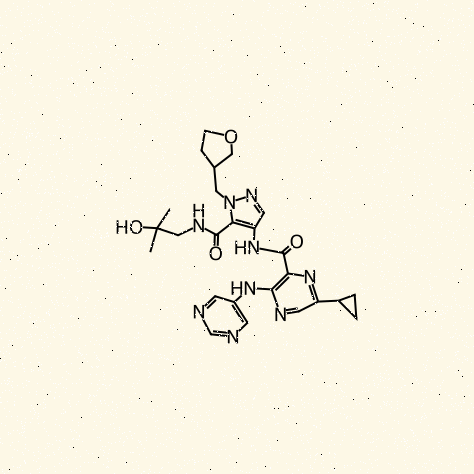 CC(C)(O)CNC(=O)c1c(NC(=O)c2nc(C3CC3)cnc2Nc2cncnc2)cnn1CC1CCOC1